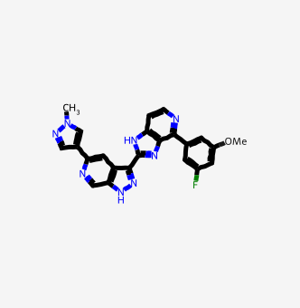 COc1cc(F)cc(-c2nccc3[nH]c(-c4n[nH]c5cnc(-c6cnn(C)c6)cc45)nc23)c1